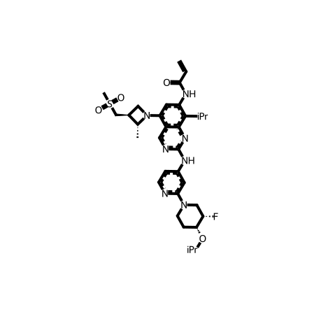 C=CC(=O)Nc1cc(N2C[C@H](CS(C)(=O)=O)[C@H]2C)c2cnc(Nc3ccnc(N4CC[C@@H](OC(C)C)[C@@H](F)C4)c3)nc2c1C(C)C